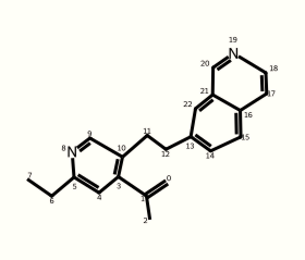 C=C(C)c1cc(CC)ncc1CCc1ccc2ccncc2c1